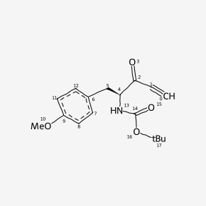 C#CC(=O)[C@H](Cc1ccc(OC)cc1)NC(=O)OC(C)(C)C